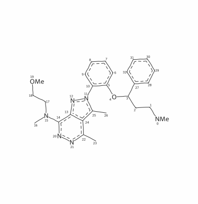 CNCCC(Oc1ccccc1-n1nc2c(N(C)CCOC)nnc(C)c2c1C)c1ccccc1